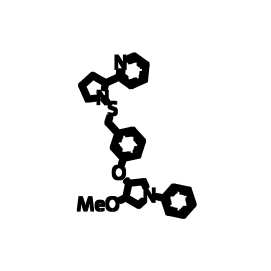 COC1CN(c2ccccc2)CC1Oc1cccc(CSN2CCCC2c2ccccn2)c1